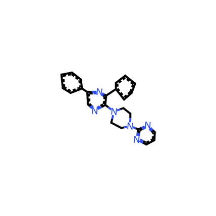 c1ccc(-c2cnc(N3CCN(c4ncccn4)CC3)c(-c3ccccc3)n2)cc1